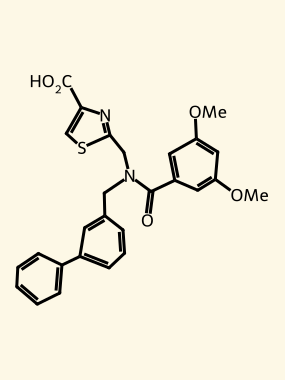 COc1cc(OC)cc(C(=O)N(Cc2cccc(-c3ccccc3)c2)Cc2nc(C(=O)O)cs2)c1